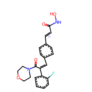 O=C(/C=C/c1ccc(C=C(C(=O)N2CCOCC2)c2ccccc2F)cc1)NO